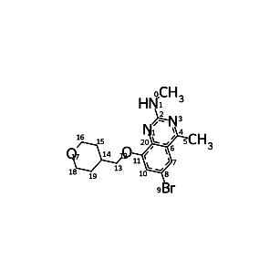 CNc1nc(C)c2cc(Br)cc(OCC3CCOCC3)c2n1